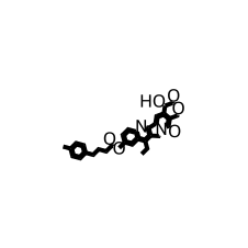 CCc1c2c(nc3ccc(OC(=O)CCCc4ccc(C)cc4)cc13)-c1cc3c(c(=O)n1C2)COC(=O)C3O